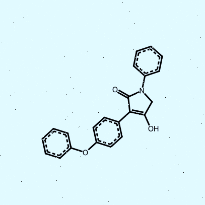 O=C1C(c2ccc(Oc3ccccc3)cc2)=C(O)CN1c1ccccc1